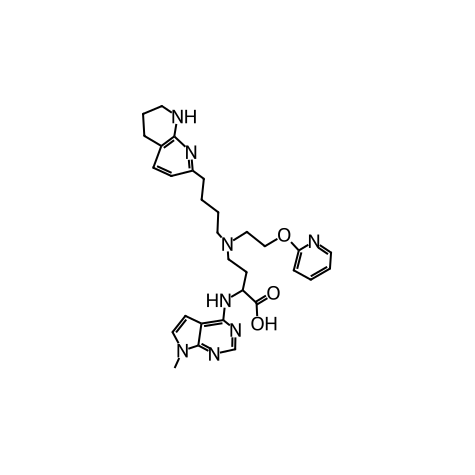 Cn1ccc2c(NC(CCN(CCCCc3ccc4c(n3)NCCC4)CCOc3ccccn3)C(=O)O)ncnc21